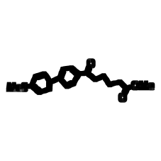 COC(=O)CCCCC(=O)c1ccc(-c2ccc(SC)cc2)cc1